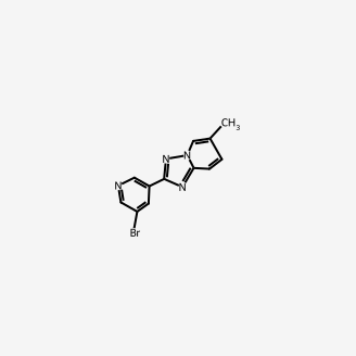 Cc1ccc2nc(-c3cncc(Br)c3)nn2c1